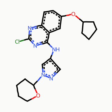 Clc1nc(Nc2cnn(C3CCCCO3)c2)c2cc(OC3CCCC3)ccc2n1